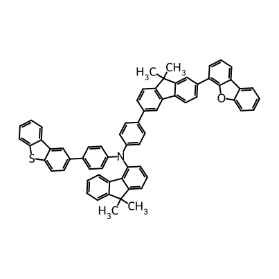 CC1(C)c2ccc(-c3ccc(N(c4ccc(-c5ccc6sc7ccccc7c6c5)cc4)c4cccc5c4-c4ccccc4C5(C)C)cc3)cc2-c2ccc(-c3cccc4c3oc3ccccc34)cc21